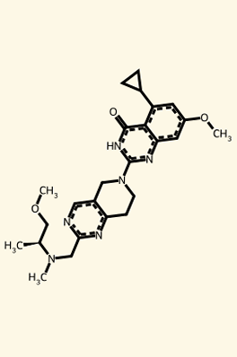 COC[C@H](C)N(C)Cc1ncc2c(n1)CCN(c1nc3cc(OC)cc(C4CC4)c3c(=O)[nH]1)C2